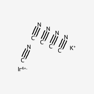 [C-]#N.[C-]#N.[C-]#N.[C-]#N.[C-]#N.[Ir+4].[K+]